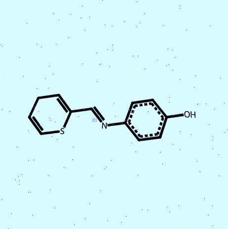 Oc1ccc(/N=C/C2=CCC=CS2)cc1